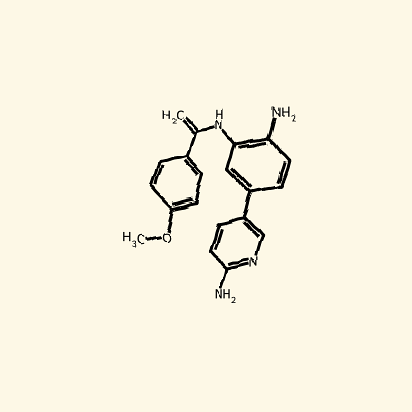 C=C(Nc1cc(-c2ccc(N)nc2)ccc1N)c1ccc(OC)cc1